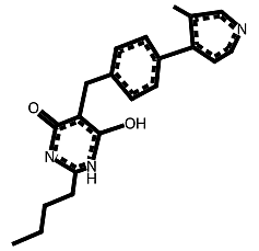 CCCCc1nc(=O)c(Cc2ccc(-c3ccncc3C)cc2)c(O)[nH]1